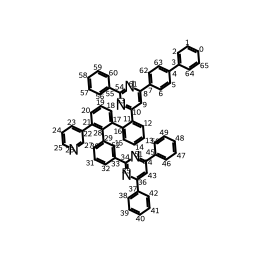 c1ccc(-c2ccc(-c3cc(-c4ccccc4-c4cccc(-c5cccnc5)c4-c4cccc(-c5nc(-c6ccccc6)cc(-c6ccccc6)n5)c4)nc(-c4ccccc4)n3)cc2)cc1